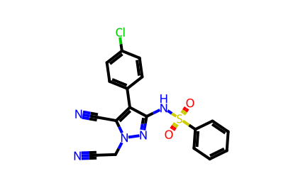 N#CCn1nc(NS(=O)(=O)c2ccccc2)c(-c2ccc(Cl)cc2)c1C#N